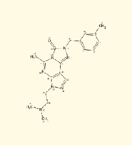 Cc1cccc(Cn2nc3c4cnn(CCN(C)C)c4nc(N)n3c2=O)c1